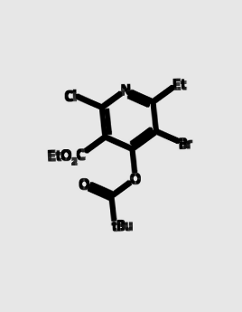 CCOC(=O)c1c(Cl)nc(CC)c(Br)c1OC(=O)C(C)(C)C